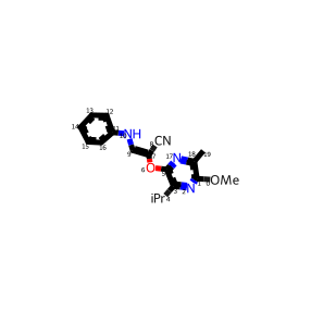 COc1nc(C(C)C)c(O/C(C#N)=C/Nc2ccccc2)nc1C